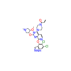 C=CC(=O)N1CCN(c2nc(O[C@@H]3CN(C)C[C@H]3OC)nc3c(Oc4c(Cl)c(Cl)cc5[nH]ncc45)nccc23)CC1